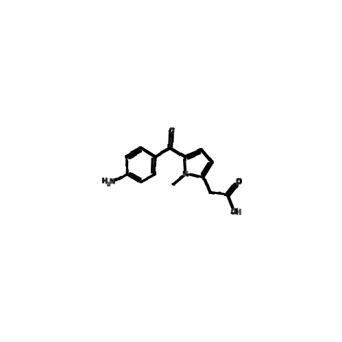 Cn1c(CC(=O)O)ccc1C(=O)c1ccc(N)cc1